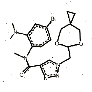 CN(C)c1cc(Br)ccc1N(C)C(=O)c1cn(CC2OCC3(CC3)CO2)nn1